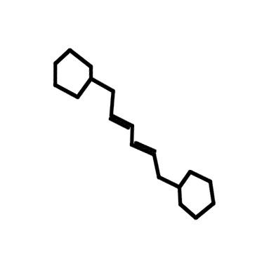 C(C=CCC1CCCCC1)=CCC1CCCCC1